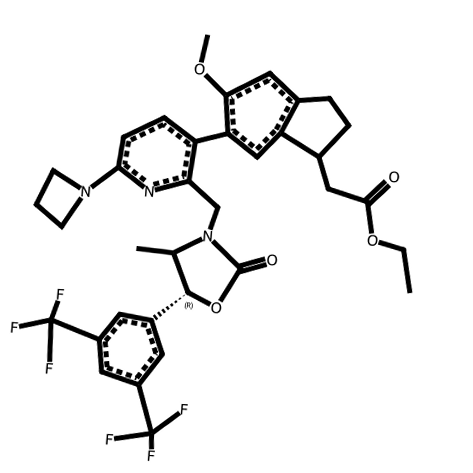 CCOC(=O)CC1CCc2cc(OC)c(-c3ccc(N4CCC4)nc3CN3C(=O)O[C@H](c4cc(C(F)(F)F)cc(C(F)(F)F)c4)C3C)cc21